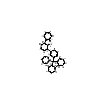 c1ccc(C2(c3cccc(-c4cccc5c4oc4ccccc45)c3)c3ccccc3-c3ccccc32)cc1